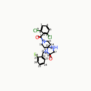 O=C(c1c(Cl)cccc1Cl)N1CCC2(CC1)NCC(=O)N2Cc1ccccc1F